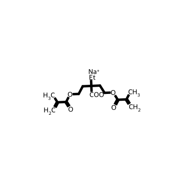 C=C(C)C(=O)OCCC(CC)(CCOC(=O)C(=C)C)C(=O)[O-].[Na+]